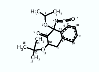 CC(C)OC1(N=C=O)C(=O)C(OC(C)(C)C)Cc2ccccc21